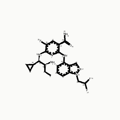 CC[C@H](N)[C@H](Nc1nc(Nc2cccc3c2cnn3CC(F)F)c(C(N)=O)cc1F)C1CC1